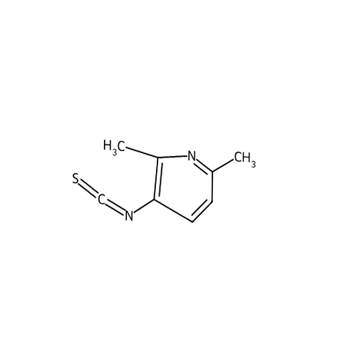 Cc1ccc(N=C=S)c(C)n1